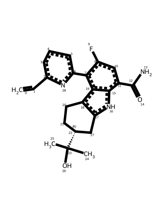 C=Cc1cccc(-c2c(F)cc(C(N)=O)c3[nH]c4c(c23)CC[C@@H](C(C)(C)O)C4)n1